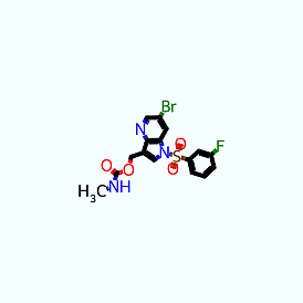 CNC(=O)OCc1cn(S(=O)(=O)c2cccc(F)c2)c2cc(Br)cnc12